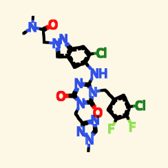 CN(C)C(=O)Cn1cc2cc(Nc3nc(=O)n(Cc4ncn(C)n4)c(=O)n3Cc3cc(F)c(F)c(Cl)c3)c(Cl)cc2n1